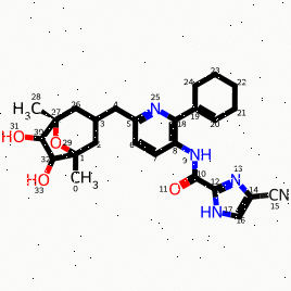 CC12CC(Cc3ccc(NC(=O)c4nc(C#N)c[nH]4)c(C4=CCCCC4)n3)C[C@](C)(O1)C(O)C2O